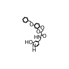 O=C(NCC1=CC(O)NC=C1)C1COc2ccc(OCc3ccccc3)cc2O1